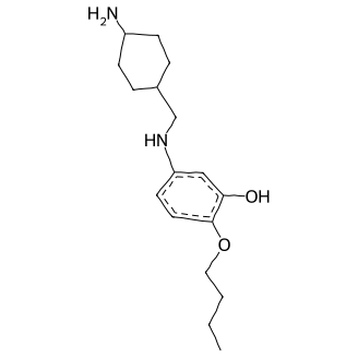 CCCCOc1ccc(NCC2CCC(N)CC2)cc1O